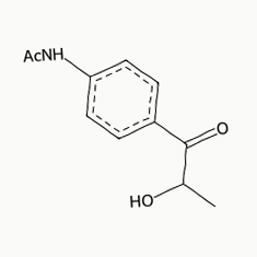 CC(=O)Nc1ccc(C(=O)C(C)O)cc1